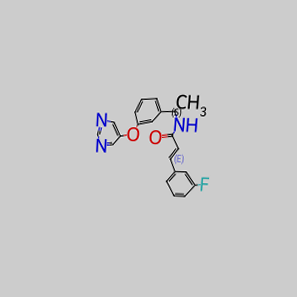 C[C@H](NC(=O)/C=C/c1cccc(F)c1)c1cccc(Oc2cncnc2)c1